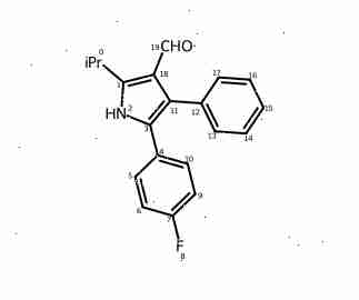 CC(C)c1[nH]c(-c2ccc(F)cc2)c(-c2ccccc2)c1[C]=O